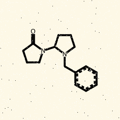 O=C1CCCN1C1CCCN1Cc1ccccc1